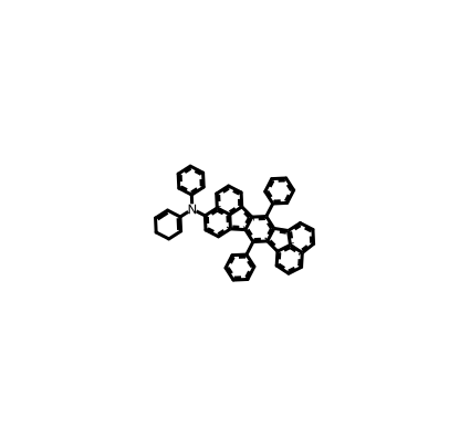 C1=CC(N(c2ccccc2)c2ccc3c4c(-c5ccccc5)c5c6cccc7cccc(c5c(-c5ccccc5)c4c4cccc2c43)c76)=CCC1